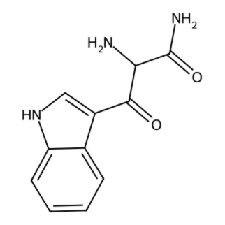 NC(=O)C(N)C(=O)c1c[nH]c2ccccc12